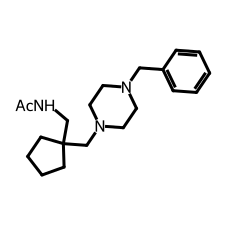 CC(=O)NCC1(CN2CCN(Cc3ccccc3)CC2)CCCC1